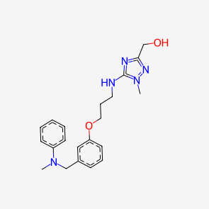 CN(Cc1cccc(OCCCNc2nc(CO)nn2C)c1)c1ccccc1